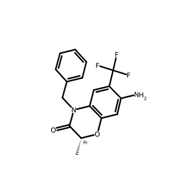 C[C@H]1Oc2cc(N)c(C(F)(F)F)cc2N(Cc2ccccc2)C1=O